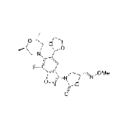 CON=C[C@H]1CN(c2noc3c(F)c(N4C[C@@H](C)O[C@H](C)C4)c(C4OCCO4)cc23)C(=O)O1